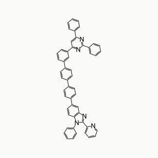 c1ccc(-c2cc(-c3cccc(-c4ccc(-c5ccc(-c6ccc7c(c6)nc(-c6ccccn6)n7-c6ccccc6)cc5)cc4)c3)nc(-c3ccccc3)n2)cc1